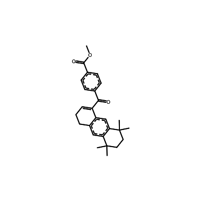 COC(=O)c1ccc(C(=O)C2=CCCc3cc4c(cc32)C(C)(C)CCC4(C)C)cc1